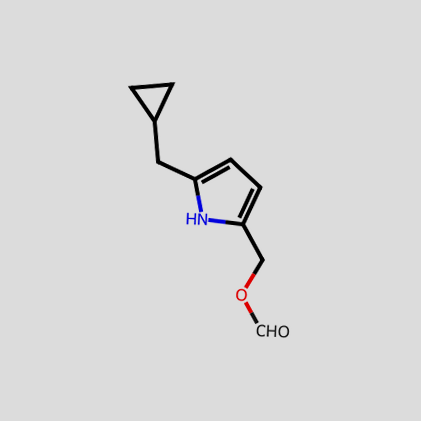 O=COCc1ccc(CC2CC2)[nH]1